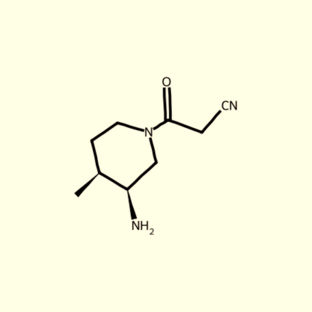 C[C@H]1CCN(C(=O)CC#N)C[C@H]1N